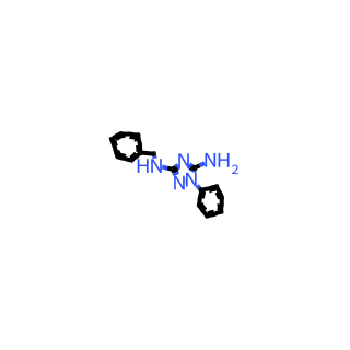 Nc1nc(NCc2ccccc2)nn1-c1ccccc1